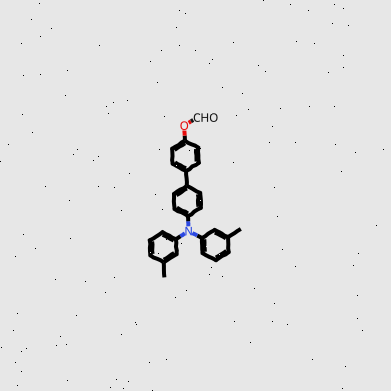 Cc1cccc(N(c2ccc(-c3ccc(OC=O)cc3)cc2)c2cccc(C)c2)c1